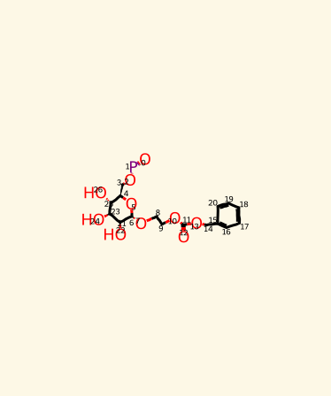 O=POC[C@H]1O[C@H](OCCOC(=O)OCc2ccccc2)[C@@H](O)[C@@H](O)[C@@H]1O